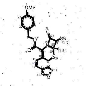 COc1ccc(COC(=O)C2=C(/C=C\c3csnn3)CS[C@H]3C(N)C(=O)N23)cc1